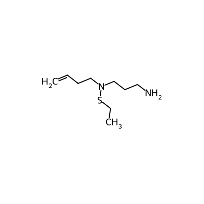 C=CCCN(CCCN)SCC